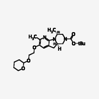 Cc1nc2c(cc1OCCOC1CCCCO1)C[C@@H]1CN(C(=O)OC(C)(C)C)C[C@@H](C)N21